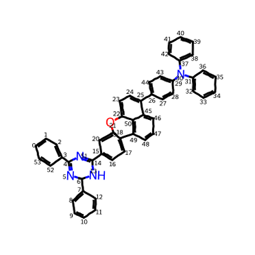 c1ccc(C2=NC(c3ccccc3)NC(c3ccc4c(c3)Oc3ccc(-c5ccc(N(c6ccccc6)c6ccccc6)cc5)c5cccc-4c35)=N2)cc1